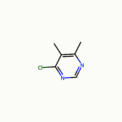 Cc1n[c]nc(Cl)c1C